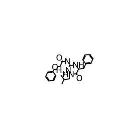 CC(C)CNC(=O)C(Cc1ccccc1)NC(N)=NC(=O)COc1ccccc1